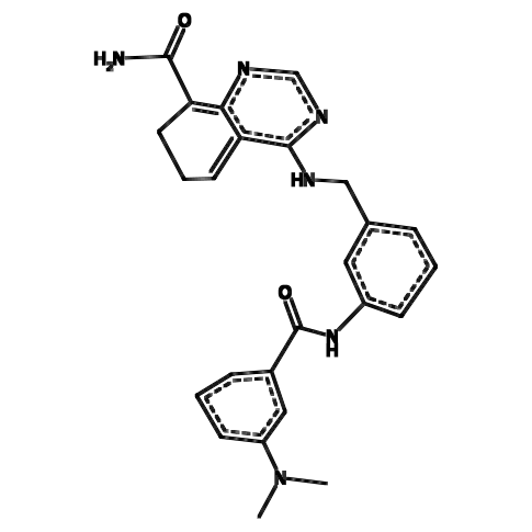 CN(C)c1cccc(C(=O)Nc2cccc(CNc3ncnc4c3=CCCC=4C(N)=O)c2)c1